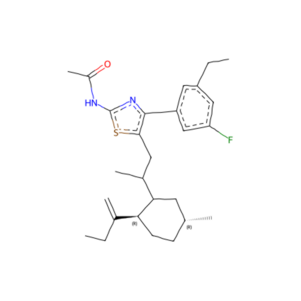 C=C(CC)[C@@H]1CC[C@@H](C)CC1C(C)Cc1sc(NC(C)=O)nc1-c1cc(F)cc(CC)c1